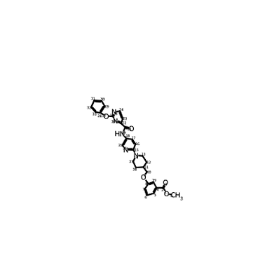 COC(=O)c1cccc(OCC2CCN(c3ccc(NC(=O)c4ccnc(Oc5ccccc5)n4)cn3)CC2)c1